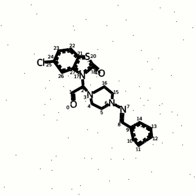 O=CC(N1CCN(N=Cc2ccccc2)CC1)n1c(=O)sc2ccc(Cl)cc21